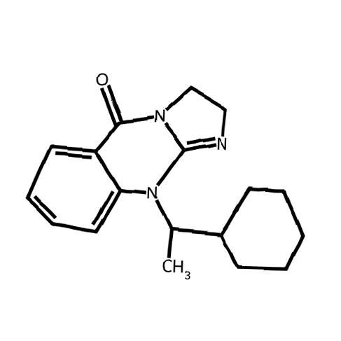 CC(C1CCCCC1)N1C2=NCCN2C(=O)c2ccccc21